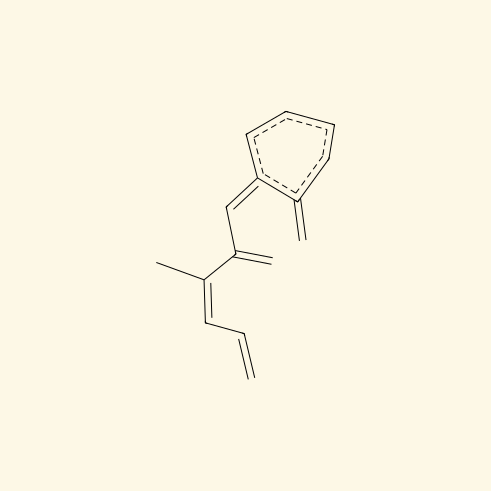 C=C/C=C(/C)C(=C)/C=c1/ccccc1=C